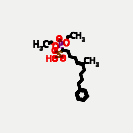 CCOP(=O)(OCC)C(CCCC=C(C)CCCCc1ccccc1)S(=O)(=O)O